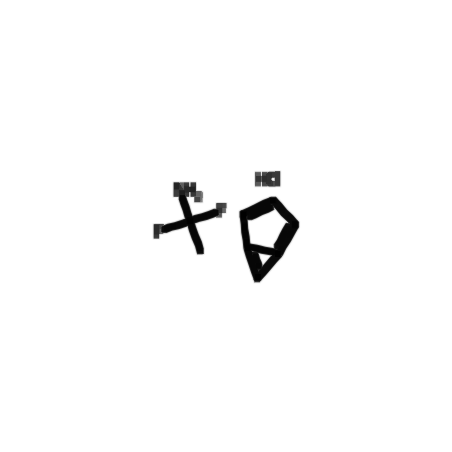 CC(N)(F)F.Cl.c1cc2cc-2c1